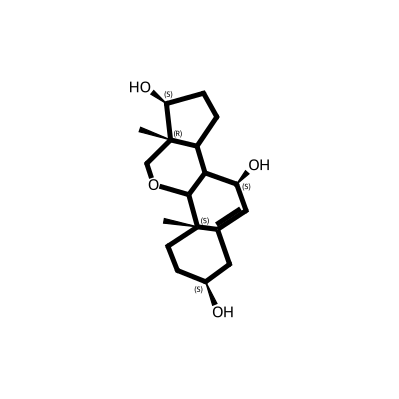 C[C@]12CC[C@H](O)CC1=C[C@H](O)C1C2OC[C@@]2(C)C1CC[C@@H]2O